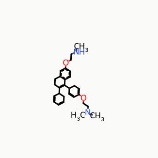 CNCCOc1ccc2c(c1)CCC(C1C=CC=CC1)=C2C1C=CC(OCCN(C)C)=CC1